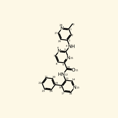 Cc1cc(Nc2nccc(C(=O)Nc3cnccc3-c3ccccc3)n2)ccn1